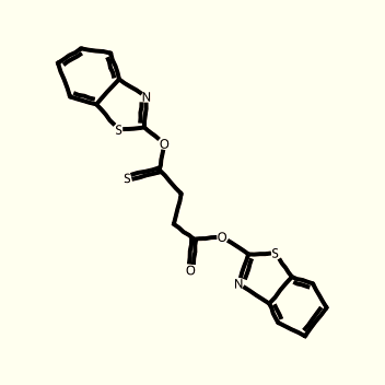 O=C(CCC(=S)Oc1nc2ccccc2s1)Oc1nc2ccccc2s1